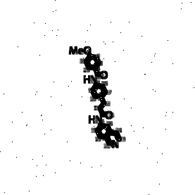 COc1ccc(C(=O)Nc2ccc(CCC(=O)Nc3ccc4cnccc4c3)cc2)cc1